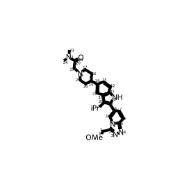 COCc1nnc2ccc(-c3[nH]c4ccc(C5CCN(CC(=O)N(C)C)CC5)cc4c3C(C)C)cn12